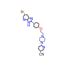 N#Cc1ccc(N2CCN(CCOc3ccc(-c4nc5cc(Br)cnc5[nH]4)cc3)CC2)nc1